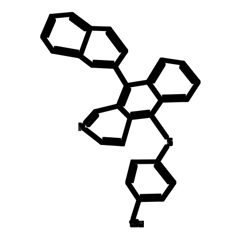 CC(C)(C)c1ccc(Sc2c3ccccc3c(-c3ccc4ccccc4c3)c3cnccc23)cc1